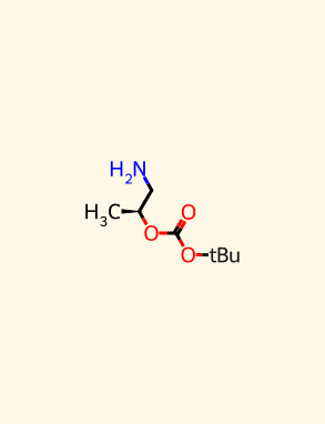 C[C@@H](CN)OC(=O)OC(C)(C)C